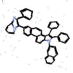 c1ccc(-c2nc3ccccn3c2-c2ccc3c(ccc4c3ccc3c4c(-c4ccccc4)c(-c4ccccc4)n3-c3ccc4ccccc4c3)c2)cc1